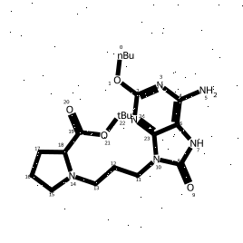 CCCCOc1nc(N)c2[nH]c(=O)n(CCCN3CCCC3C(=O)OC(C)(C)C)c2n1